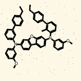 CCc1ccc(-c2cccc(N(c3cccc(OC)c3)c3ccc4c(c3)oc3cc(N(c5cccc(OC)c5)c5cccc(-c6ccc(CC)cc6)c5C)ccc34)c2)cc1